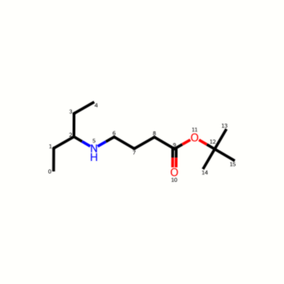 CCC(CC)NCCCC(=O)OC(C)(C)C